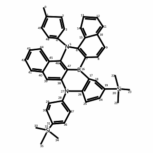 Cc1ccc(N2c3c(ccc4ccccc34)B3c4cc([Si](C)(C)C)ccc4N(c4ccc([Si](C)(C)C)cc4)c4cc5ccccc5c2c43)cc1